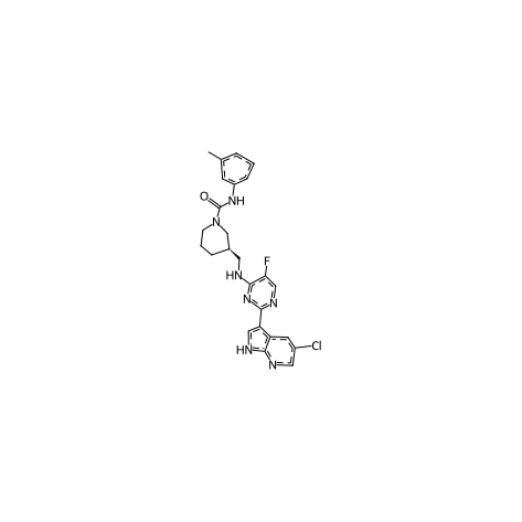 Cc1cccc(NC(=O)N2CCC[C@H](CNc3nc(-c4c[nH]c5ncc(Cl)cc45)ncc3F)C2)c1